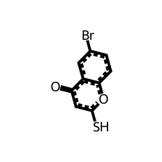 O=c1cc(S)oc2ccc(Br)cc12